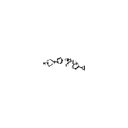 O=C(Nc1ccc(N2CCNCC2)cc1)Nc1nc(C2CC2)cs1